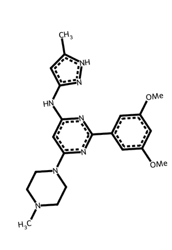 COc1cc(OC)cc(-c2nc(Nc3cc(C)[nH]n3)cc(N3CCN(C)CC3)n2)c1